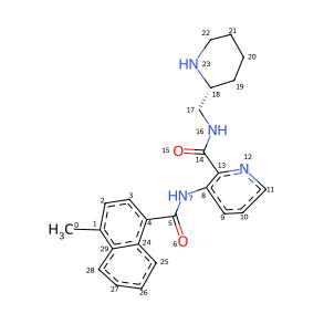 Cc1ccc(C(=O)Nc2cccnc2C(=O)NC[C@H]2CCCCN2)c2ccccc12